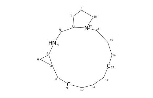 [C]1CC2CNC3CC3CCCCCCCCCN2C1